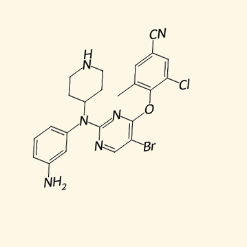 Cc1cc(C#N)cc(Cl)c1Oc1nc(N(c2cccc(N)c2)C2CCNCC2)ncc1Br